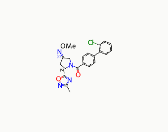 CO/N=C1/C[C@@H](c2nc(C)no2)N(C(=O)c2ccc(-c3ccccc3Cl)cc2)C1